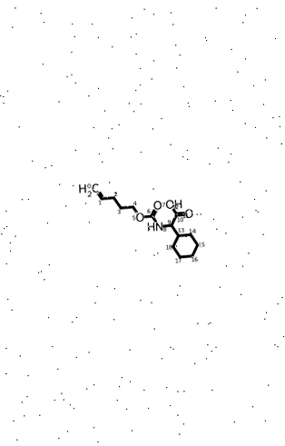 C=CCCCOC(=O)NC(C(=O)O)C1CCCCC1